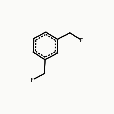 FCc1[c]c(CF)ccc1